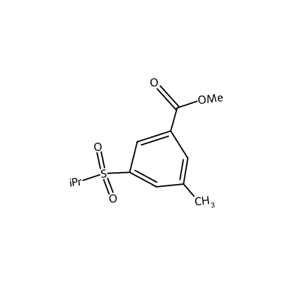 COC(=O)c1cc(C)cc(S(=O)(=O)C(C)C)c1